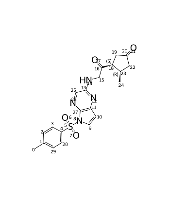 Cc1ccc(S(=O)(=O)n2ccc3nc(NCC(=O)[C@H]4CC(=O)C[C@H]4C)cnc32)cc1